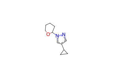 c1nn(C2CCCCO2)cc1C1CC1